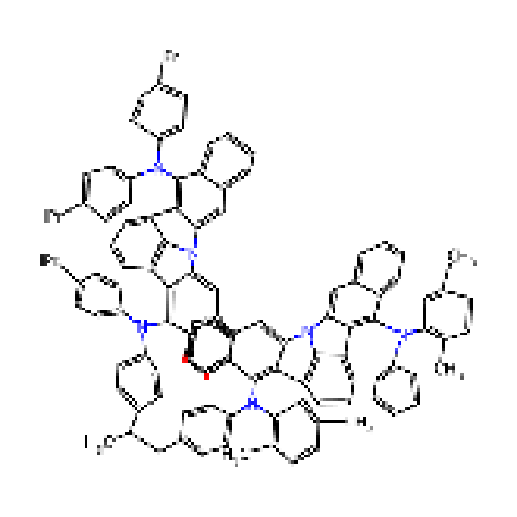 Cc1ccc(C)c(N(c2ccccc2)c2c3ccccc3cc3c2c2cccc4c5c(N(c6ccc(CC(C)c7ccc(N(c8ccc(C(C)C)cc8)c8c9ccccc9cc9c8c8cccc%10c%11c(N(c%12ccc(C(C)C)cc%12)c%12ccc(C(C)C)cc%12)c%12ccccc%12cc%11n9c%108)cc7)cc6)c6cc(C)ccc6C)c6ccccc6cc5n3c24)c1